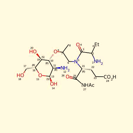 CCC(N)C(=O)N(CC(C)O[C@@H]1[C@@H](N)[C@@H](O)O[C@H](CO)[C@H]1O)[C@H](CCC(=O)O)C(=O)NC(C)=O